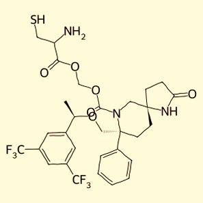 C[C@@H](OC[C@@]1(c2ccccc2)CC[C@]2(CCC(=O)N2)CN1C(=O)OCOC(=O)C(N)CS)c1cc(C(F)(F)F)cc(C(F)(F)F)c1